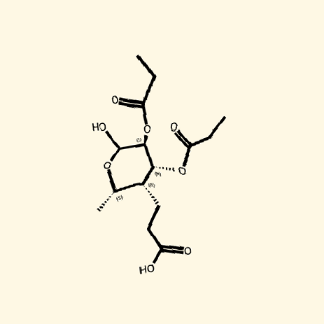 CCC(=O)O[C@@H]1[C@H](CCC(=O)O)[C@H](C)OC(O)[C@H]1OC(=O)CC